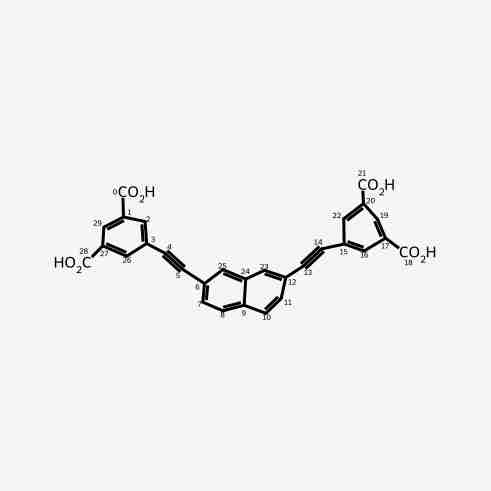 O=C(O)c1cc(C#Cc2ccc3ccc(C#Cc4cc(C(=O)O)cc(C(=O)O)c4)cc3c2)cc(C(=O)O)c1